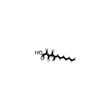 CCCCCCC/C(C)=C(C)/C(C)=C(\C)C(=O)O